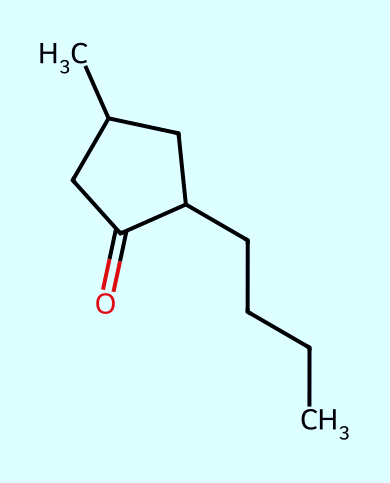 CCCCC1CC(C)CC1=O